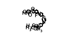 CC(C)(C)OC(=O)N1CCC(CN2CCN(CC3CCN(c4ccc5c(c4F)CN(C4CCC(=O)NC4=O)C5=O)CC3)CC2)CC1